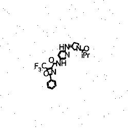 CC(C)C(=O)N1CC[C@H](Nc2ccc(NC(=O)c3nc(-c4ccccc4)oc3C(F)(F)F)cn2)C1